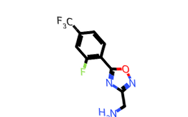 NCc1noc(-c2ccc(C(F)(F)F)cc2F)n1